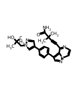 CC(C)(O)Cn1cc(-c2ccc(-c3cnn4ccnc(C#CC(C)(C)C(N)=O)c34)cc2)cn1